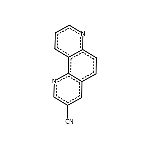 N#Cc1cnc2c(ccc3ncccc32)c1